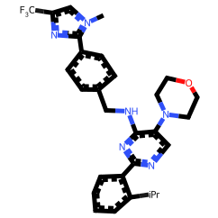 CC(C)c1ccccc1-c1ncc(N2CCOCC2)c(NCc2ccc(-c3nc(C(F)(F)F)cn3C)cc2)n1